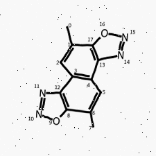 Cc1cc2c(cc(C)c3onnc32)c2nnoc12